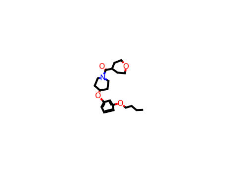 CCCCOc1cccc(OC2CCN(C(=O)C3CCOCC3)CC2)c1